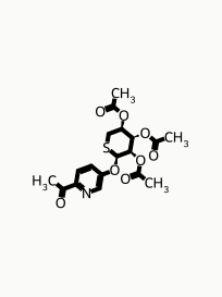 CC(=O)O[C@@H]1[C@@H](OC(C)=O)[C@@H](Oc2ccc(C(C)=O)nc2)SC[C@H]1OC(C)=O